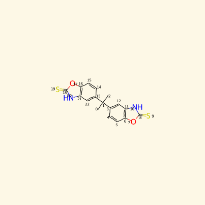 CC(C)(c1ccc2oc(=S)[nH]c2c1)c1ccc2oc(=S)[nH]c2c1